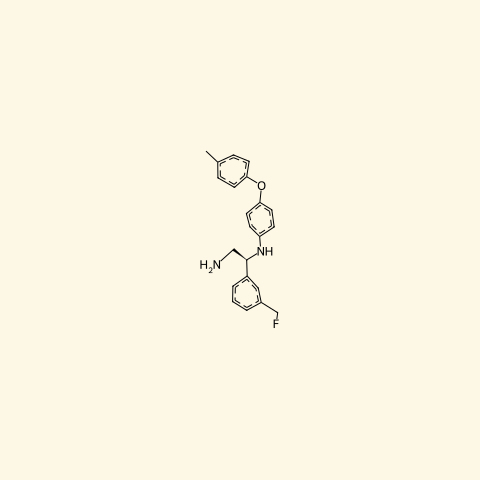 Cc1ccc(Oc2ccc(N[C@H](CN)c3cccc(CF)c3)cc2)cc1